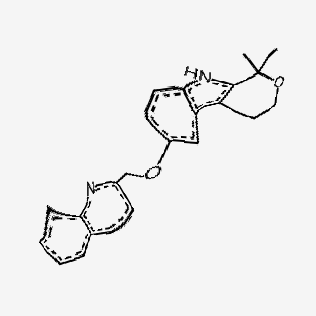 CC1(C)OCCc2c1[nH]c1ccc(OCc3ccc4ccccc4n3)cc21